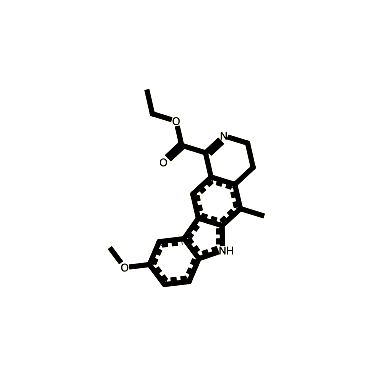 CCOC(=O)C1=NCCc2c1cc1c([nH]c3ccc(OC)cc31)c2C